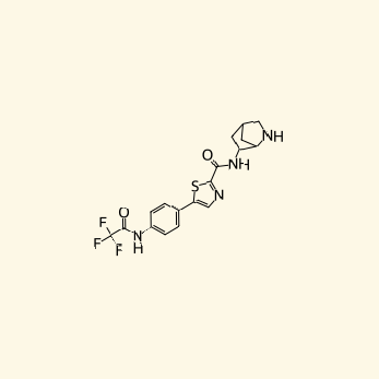 O=C(NC1CC2CNC1C2)c1ncc(-c2ccc(NC(=O)C(F)(F)F)cc2)s1